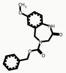 COc1ccc2c(c1)CN(C(=O)OCc1ccccc1)CC(=O)N2